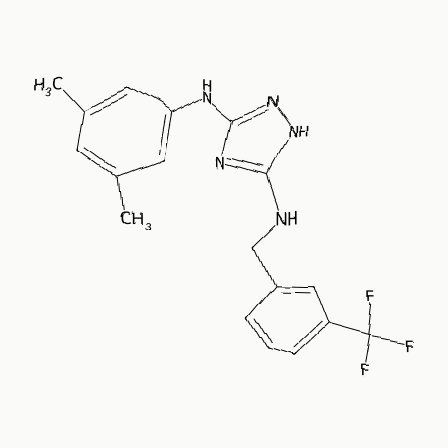 Cc1cc(C)cc(Nc2n[nH]c(NCc3cccc(C(F)(F)F)c3)n2)c1